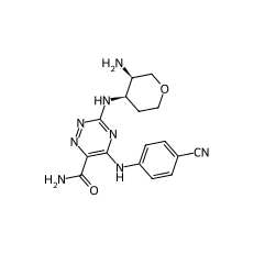 N#Cc1ccc(Nc2nc(N[C@@H]3CCOC[C@@H]3N)nnc2C(N)=O)cc1